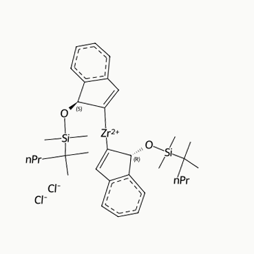 CCCC(C)(C)[Si](C)(C)O[C@@H]1[C]([Zr+2][C]2=Cc3ccccc3[C@H]2O[Si](C)(C)C(C)(C)CCC)=Cc2ccccc21.[Cl-].[Cl-]